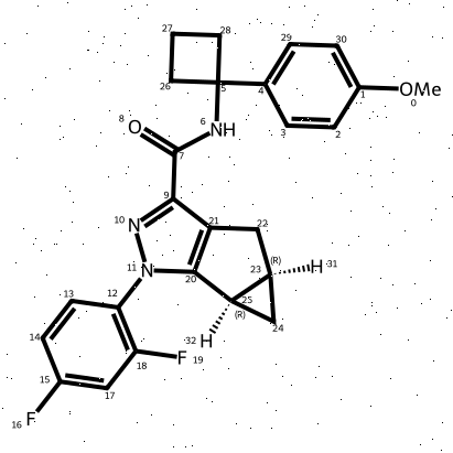 COc1ccc(C2(NC(=O)c3nn(-c4ccc(F)cc4F)c4c3C[C@H]3C[C@@H]43)CCC2)cc1